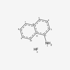 F.Nc1cccc2ccccc12